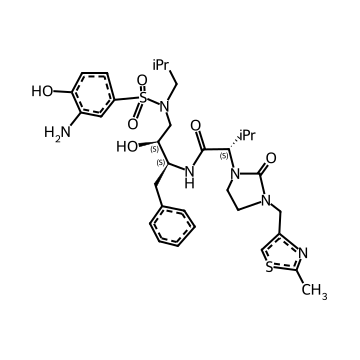 Cc1nc(CN2CCN([C@H](C(=O)N[C@@H](Cc3ccccc3)[C@@H](O)CN(CC(C)C)S(=O)(=O)c3ccc(O)c(N)c3)C(C)C)C2=O)cs1